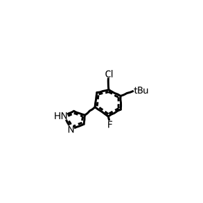 CC(C)(C)c1cc(F)c(-c2cn[nH]c2)cc1Cl